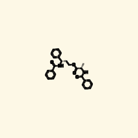 C[C@H](NC(=O)c1ccccc1)C(=O)OCC[C@H](NC(=O)c1ccccc1)c1ccccc1